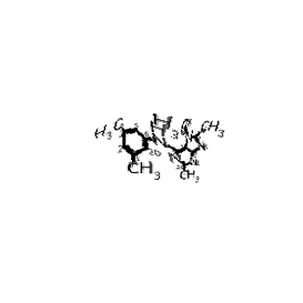 Cc1cc(C)cc(Nc2nc(C)nc3nc(C)n(C)c23)c1